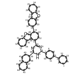 c1ccc(-c2ccc(C3N=C(c4ccc(-c5ccc6c(c5)oc5ccccc56)c5oc6ccccc6c45)N=C(c4ccc5ccccc5c4)N3)cc2)cc1